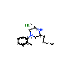 CSCCC1CN(c2ccccc2C)CCN1.Cl